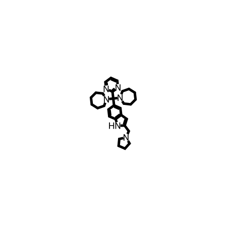 c1cnc(C(c2ccc3[nH]c(CN4CCCC4)cc3c2)(N2CCCCCC2)N2CCCCCC2)nc1